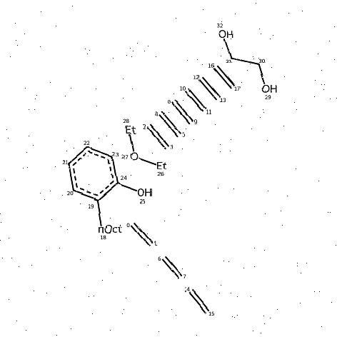 C=C.C=C.C=C.C=C.C=C.C=C.C=C.C=C.C=C.CCCCCCCCc1ccccc1O.CCOCC.OCCO